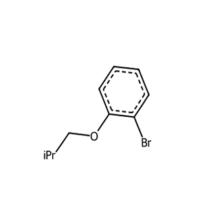 [CH2]C(C)COc1ccccc1Br